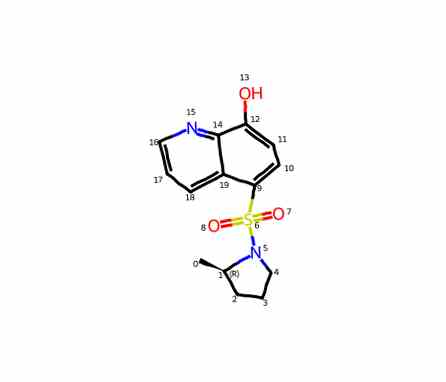 C[C@@H]1CCCN1S(=O)(=O)c1ccc(O)c2ncccc12